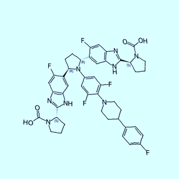 O=C(O)N1CCC[C@H]1c1nc2cc(F)c([C@H]3CC[C@H](c4cc5[nH]c([C@@H]6CCCN6C(=O)O)nc5cc4F)N3c3cc(F)c(N4CCC(c5ccc(F)cc5)CC4)c(F)c3)cc2[nH]1